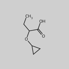 CCC(OC1CC1)C(=O)O